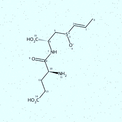 C/C=C/[S+]([O-])C[C@H](NC(=O)[C@@H](N)CCC(=O)O)C(=O)O